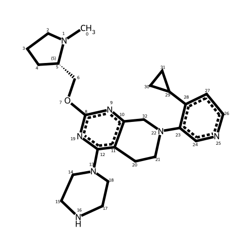 CN1CCC[C@H]1COc1nc2c(c(N3CCNCC3)n1)CCN(c1cnccc1C1CC1)C2